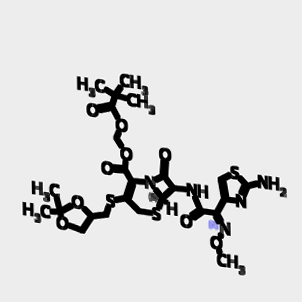 CO/N=C(\C(=O)NC1C(=O)N2C(C(=O)OCOC(=O)C(C)(C)C)=C(SCC3COC(C)(C)O3)CS[C@@H]12)c1csc(N)n1